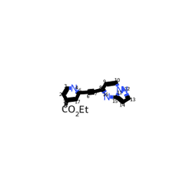 CCOC(=O)c1ccnc(C#Cc2ccn3nccc3n2)c1